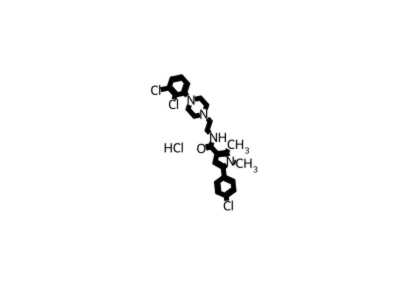 Cc1c(C(=O)NCCN2CCN(c3cccc(Cl)c3Cl)CC2)cc(-c2ccc(Cl)cc2)n1C.Cl